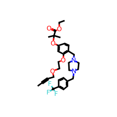 CC#CCOCCOc1cc(OC(C)(C)C(=O)OCC)ccc1CN1CCN(Cc2ccc(C(F)(F)F)cc2)CC1